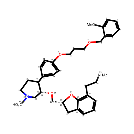 COc1ccccc1COCCCOc1ccc(C2CCN(C(=O)O)C[C@H]2OC[C@H]2Cc3cccc(CCNC(C)=O)c3O2)cc1